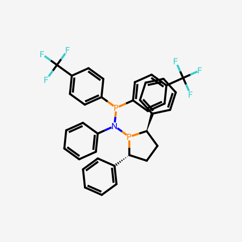 FC(F)(F)c1ccc(P(c2ccc(C(F)(F)F)cc2)N(c2ccccc2)P2[C@@H](c3ccccc3)CC[C@@H]2c2ccccc2)cc1